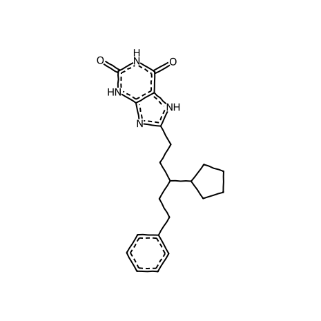 O=c1[nH]c(=O)c2[nH]c(CCC(CCc3ccccc3)C3CCCC3)nc2[nH]1